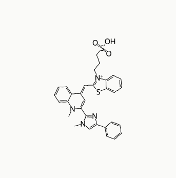 CN1C(c2nc(-c3ccccc3)cn2C)=C/C(=C\c2sc3ccccc3[n+]2CCCS(=O)(=O)O)c2ccccc21